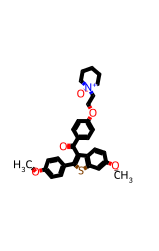 COc1ccc(-c2sc3cc(OC)ccc3c2C(=O)c2ccc(OCC[N+]3([O-])CCCCC3)cc2)cc1